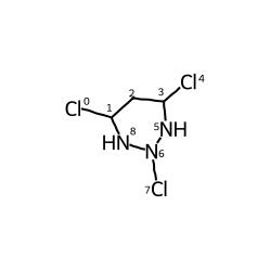 ClC1CC(Cl)NN(Cl)N1